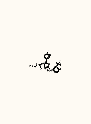 CCOC(=O)Cn1nc(Nc2ccc(F)c(C(F)(F)F)c2)nc1-c1ccc(Cl)nc1